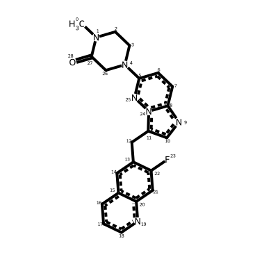 CN1CCN(c2ccc3ncc(Cc4cc5cccnc5cc4F)n3n2)CC1=O